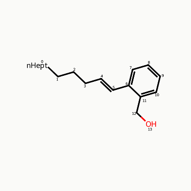 CCCCCCCCCC/C=C/c1ccccc1CO